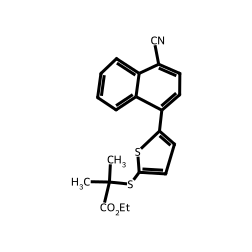 CCOC(=O)C(C)(C)Sc1ccc(-c2ccc(C#N)c3ccccc23)s1